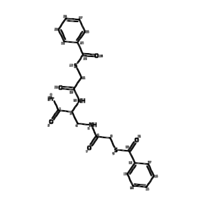 CC(C)C(=O)C(CNC(=O)CSC(=O)c1ccccc1)NC(=O)CSC(=O)c1ccccc1